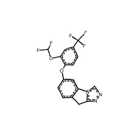 FC(F)Oc1cc(C(F)(F)F)ccc1Oc1ccc2c(c1)-n1cnnc1[CH]2